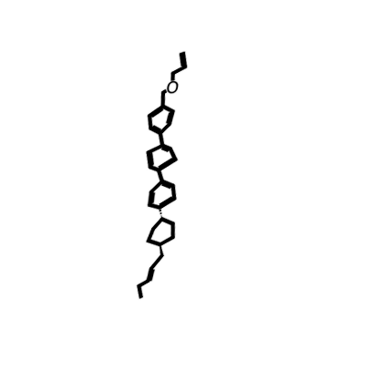 C=CCOCc1ccc(-c2ccc(-c3ccc([C@H]4CC[C@H](CC=CCC)CC4)cc3)cc2)cc1